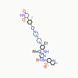 CCc1cc(Nc2ncc(Br)c(Nc3ccc4nc(C)ccc4c3P(C)(C)=O)n2)c(OC)cc1N1CCC(N2CCN([C@H]3C[C@H](c4cc(F)c(C5CCC(=O)NC5=O)c(F)c4)C3)CC2)CC1